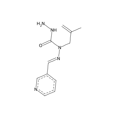 C=C(C)CN(N=Cc1cccnc1)C(=O)NN